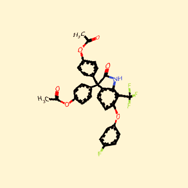 CC(=O)Oc1ccc(C2(c3ccc(OC(C)=O)cc3)C(=O)Nc3c2ccc(Oc2ccc(F)cc2)c3C(F)(F)F)cc1